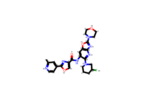 Cc1cc(-c2nc(C(=O)Nc3cc4oc(N5CCOCC5)nc4nc3N3CCCC(F)C3)co2)ccn1